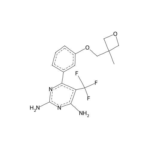 CC1(COc2cccc(-c3nc(N)nc(N)c3C(F)(F)F)c2)COC1